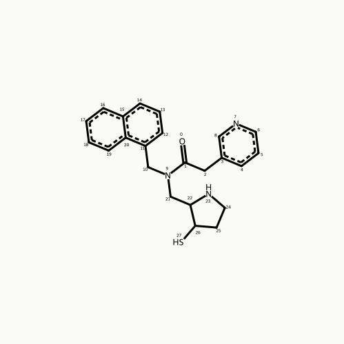 O=C(Cc1cccnc1)N(Cc1cccc2ccccc12)CC1NCCC1S